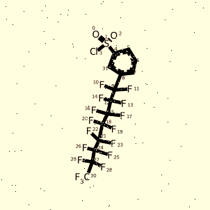 O=S(=O)(Cl)c1cccc(C(F)(F)C(F)(F)C(F)(F)C(F)(F)C(F)(F)C(F)(F)C(F)(F)C(F)(F)F)c1